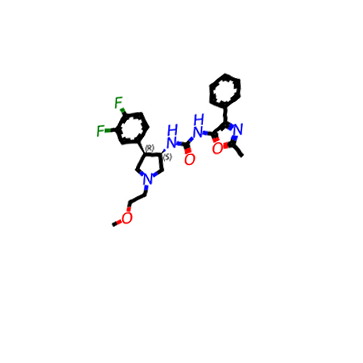 COCCN1C[C@@H](NC(=O)Nc2oc(C)nc2-c2ccccc2)[C@H](c2ccc(F)c(F)c2)C1